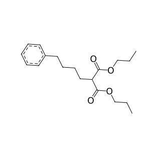 CCCOC(=O)C(CCCCc1ccccc1)C(=O)OCCC